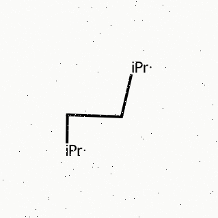 C[C](C)CC[C](C)C